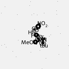 COc1ccc(CN(c2scnc2C(=O)OC(C)(C)C)S(=O)(=O)c2ccc(NC(=O)Oc3ccc([N+](=O)[O-])cc3)c(F)c2)cc1